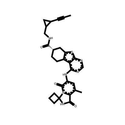 CC#CC1CC1CNC(=O)[C@H]1CCc2c(sc3ncnc(Nc4cc(C)c5n(c4=O)C4(CCC4)NC5=O)c23)C1